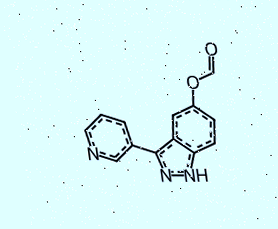 O=COc1ccc2[nH]nc(-c3cccnc3)c2c1